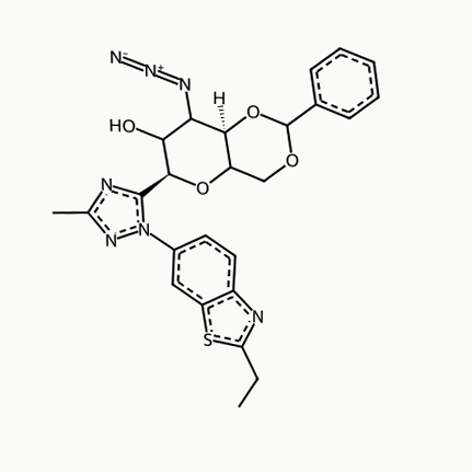 CCc1nc2ccc(-n3nc(C)nc3[C@@H]3OC4COC(c5ccccc5)O[C@@H]4C(N=[N+]=[N-])C3O)cc2s1